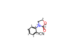 N#Cc1cc[c]cc1N1CCOC1=O